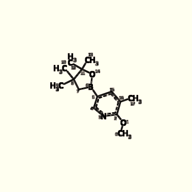 COc1ncc(B2CC(C)(C)C(C)(C)O2)cc1C